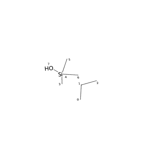 CCC.C[Si](C)(C)O